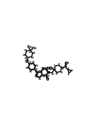 O=C(C1CC1)N1CCC(O)(Cn2cnc3c(cnn3-c3ccc(OC4CCC(F)(F)CC4)cc3)c2=O)CC1